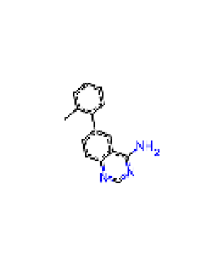 Cc1ccccc1-c1ccc2ncnc(N)c2c1